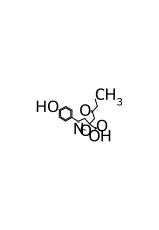 CCCC(=O)CC1(C(=O)O)CC(c2ccc(O)cc2)=NO1